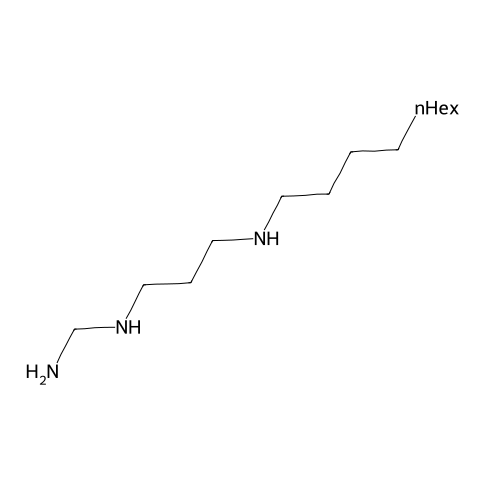 [CH2]CCCCCCCCCNCCCNCN